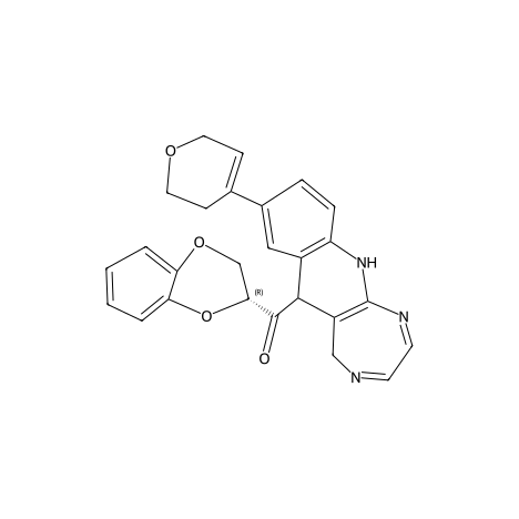 O=C(C1C2=C(N=CC=NC2)Nc2ccc(C3=CCOCC3)cc21)[C@H]1COc2ccccc2O1